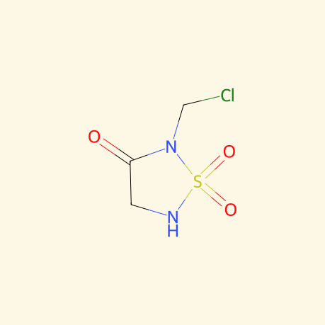 O=C1CNS(=O)(=O)N1CCl